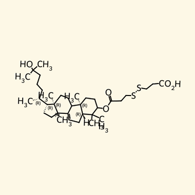 C[C@H](CCCC(C)(C)O)[C@H]1CC[C@@]2(C)C3=CC[C@H]4C(C)(C)C(OC(=O)CCSSCCC(=O)O)CC[C@]4(C)C3CC[C@]12C